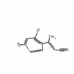 C/C(=C\C#N)c1ccc(Cl)cc1Cl